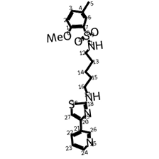 COc1ccc(C)cc1S(=O)(=O)NCCCCCNc1nc(-c2cccnc2)cs1